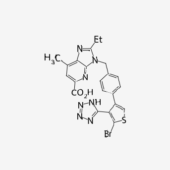 CCc1nc2c(C)cc(C(=O)O)nc2n1Cc1ccc(-c2csc(Br)c2-c2nnn[nH]2)cc1